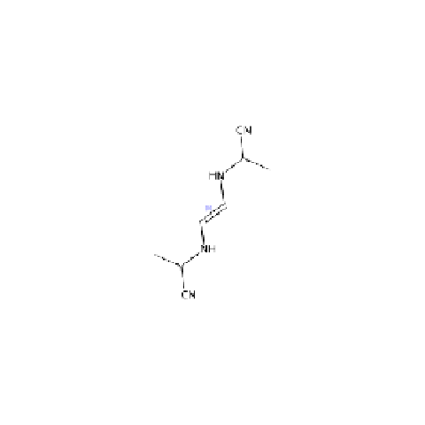 CC(C#N)N/C=C/NC(C)C#N